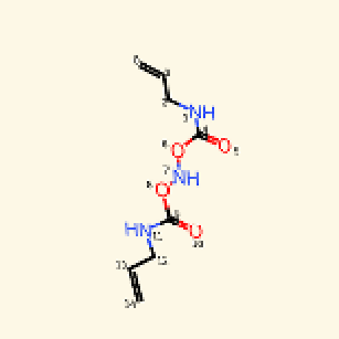 C=CCNC(=O)ONOC(=O)NCC=C